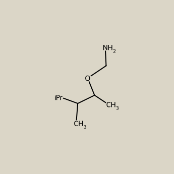 CC(C)C(C)C(C)OCN